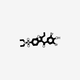 CCc1oc2cc(S(=O)(=O)N(CC)CC)ccc2c1C(=O)c1cc(Br)c(O)c(Br)c1